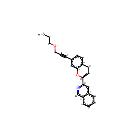 COCCOCC#Cc1ccc2c(c1)OC(c1cc3ccccc3cn1)=CC2